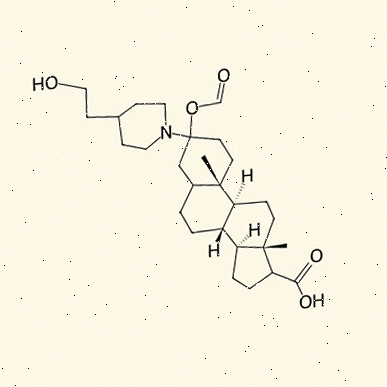 C[C@]12CCC(OC=O)(N3CCC(CCO)CC3)CC1CC[C@@H]1[C@@H]2CC[C@]2(C)C(C(=O)O)CC[C@@H]12